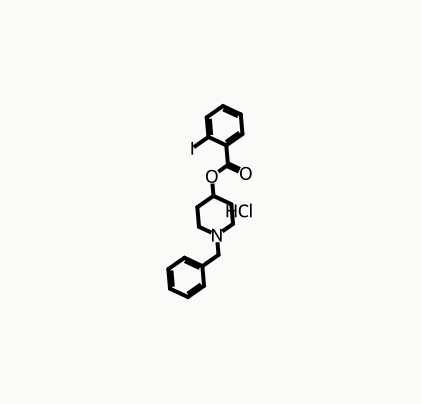 Cl.O=C(OC1CCN(Cc2ccccc2)CC1)c1ccccc1I